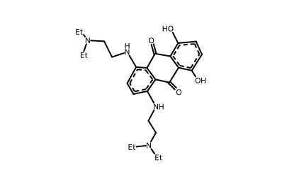 CCN(CC)CCNc1ccc(NCCN(CC)CC)c2c1C(=O)c1c(O)ccc(O)c1C2=O